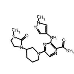 CN1CCN(C2CCCN(c3cnc(C(N)=O)c(Nc4cnn(C)c4)n3)C2)C1=O